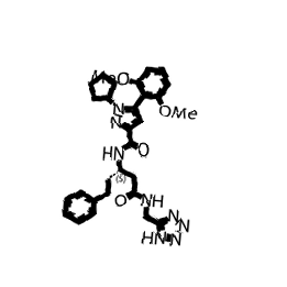 COc1cccc(OC)c1-c1cc(C(=O)N[C@@H](CCc2ccccc2)CC(=O)NCc2nnn[nH]2)nn1C1CCCC1